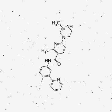 Cc1nc(N2CCN[C@H](C)C2)ccc1C(=O)Nc1ccc(I)c(-c2ccccn2)c1